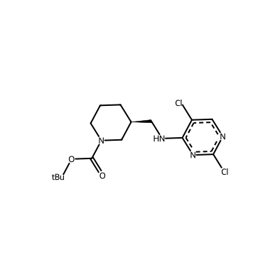 CC(C)(C)OC(=O)N1CCC[C@@H](CNc2nc(Cl)ncc2Cl)C1